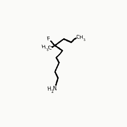 CCCC(C)(F)CCCCCN